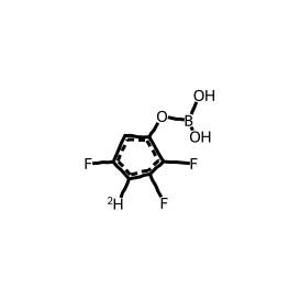 [2H]c1c(F)cc(OB(O)O)c(F)c1F